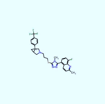 Cc1ccc2c(-c3nnc(SCCCN4CC5C[C@]5(c5ccc(C(F)(F)F)cc5)C4)n3C)ccc(F)c2n1